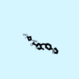 Cc1cnc(C(=O)N[C@H]2C[C@](C)(O)C2)cc1Cc1ccc(-n2cccn2)cc1